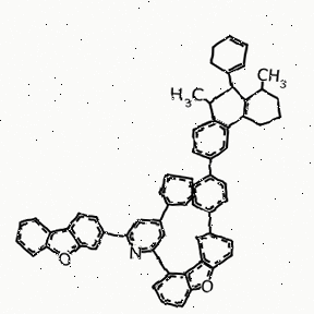 CC1CCCC2=C1C(C1=CC=CCC1)C(C)c1ccc(-c3ccc(-c4ccc5oc6cccc(-c7cc(-c8ccccc8)cc(-c8ccc9c(c8)oc8ccccc89)n7)c6c5c4)cc3)cc12